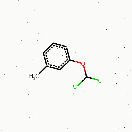 Cc1cccc(OC(Cl)Cl)c1